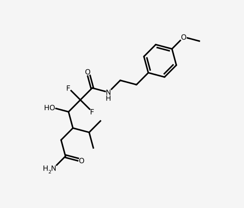 COc1ccc(CCNC(=O)C(F)(F)C(O)C(CC(N)=O)C(C)C)cc1